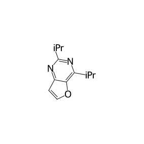 CC(C)c1nc(C(C)C)c2occc2n1